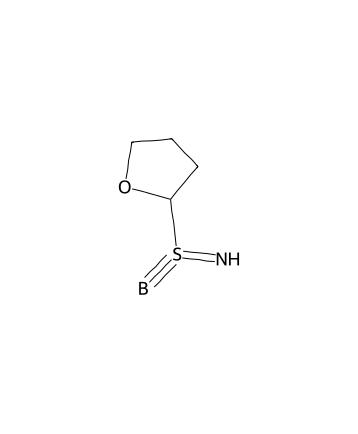 B#S(=N)C1CCCO1